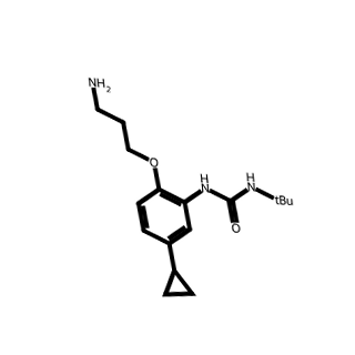 CC(C)(C)NC(=O)Nc1cc(C2CC2)ccc1OCCCN